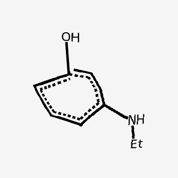 CCNc1cccc(O)c1